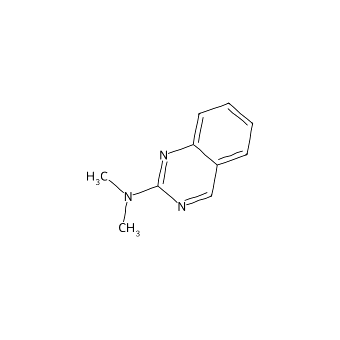 CN(C)c1ncc2ccccc2n1